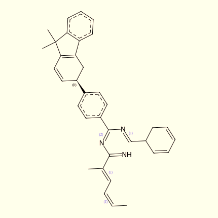 C/C=C\C=C(/C)C(=N)/N=C(\N=C\C1C=CC=CC1)c1ccc([C@H]2C=CC3=C(C2)c2ccccc2C3(C)C)cc1